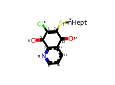 CCCCCCCSC1=C(Cl)C(=O)c2ncccc2C1=O